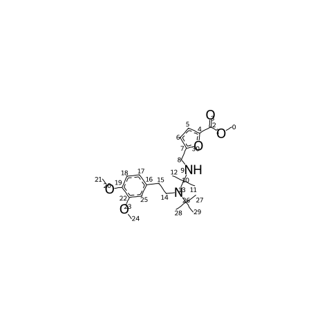 COC(=O)c1ccc(CNC(C)(C)N(CCc2ccc(OC)c(OC)c2)C(C)(C)C)o1